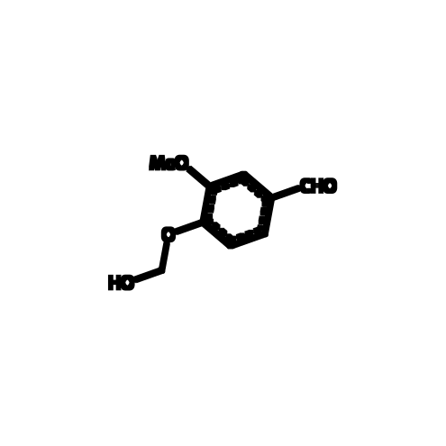 COc1cc(C=O)ccc1OCO